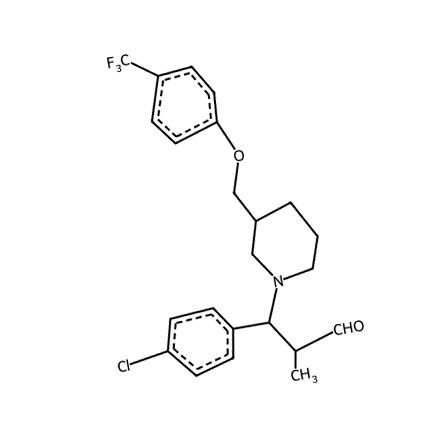 CC(C=O)C(c1ccc(Cl)cc1)N1CCCC(COc2ccc(C(F)(F)F)cc2)C1